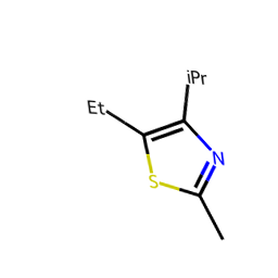 CCc1sc(C)nc1C(C)C